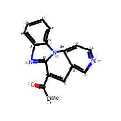 COC(=O)c1cc2cnccc2n2c1nc1ccccc12